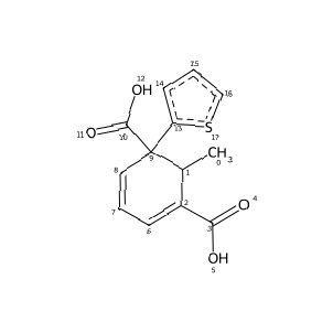 CC1C(C(=O)O)=CC=CC1(C(=O)O)c1cccs1